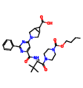 CCCCOC(=O)N1CCN(C(=O)[C@@H](NC(=O)c2cc(N3CC4C(C3)C4C(=O)O)nc(-c3ccccc3)n2)C(C)(C)C)CC1